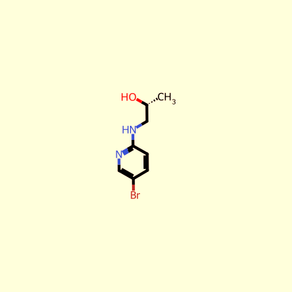 C[C@@H](O)CNc1ccc(Br)cn1